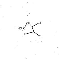 CC(=O)O.ClCC(Cl)Cl